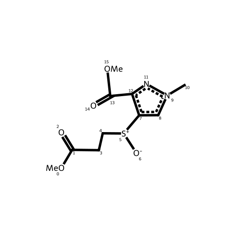 COC(=O)CC[S+]([O-])c1cn(C)nc1C(=O)OC